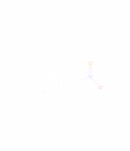 O=[N+]([O-])CCC1CCCC1